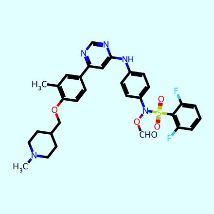 Cc1cc(-c2cc(Nc3ccc(N(OC=O)S(=O)(=O)c4c(F)cccc4F)cc3)ncn2)ccc1OCC1CCN(C)CC1